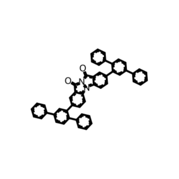 O=c1c2cc(-c3cc(-c4ccccc4)ccc3-c3ccccc3)ccc2n2c3ccc(-c4cc(-c5ccccc5)ccc4-c4ccccc4)cc3c(=O)n12